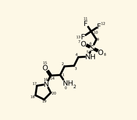 NC(CCCNS(=O)(=O)CC(F)(F)F)C(=O)N1CCCC1